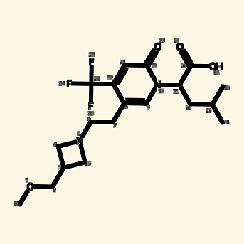 COCC1CN(CCc2cn(C(CC(C)C)C(=O)O)c(=O)cc2C(F)(F)F)C1